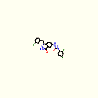 O=C(Nc1ccc2c(Cc3cccc(F)c3)n[nH]c(=O)c2c1)Nc1ccc(F)cc1F